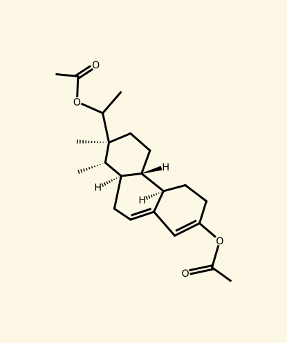 CC(=O)OC1=CC2=CC[C@@H]3[C@H](CC[C@](C)(C(C)OC(C)=O)[C@H]3C)[C@H]2CC1